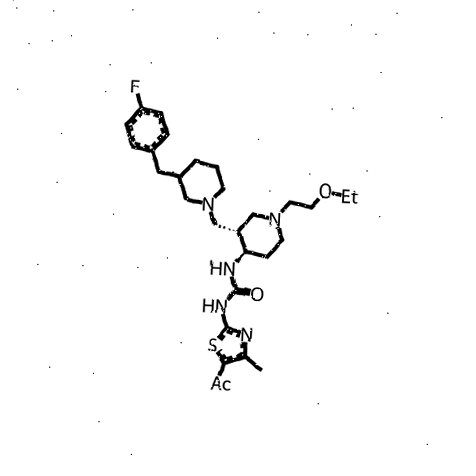 CCOCCN1CC[C@@H](NC(=O)Nc2nc(C)c(C(C)=O)s2)[C@H](CN2CCCC(Cc3ccc(F)cc3)C2)C1